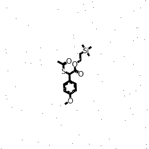 COc1ccc(C(SC(C)=O)C(=O)OCC[Si](C)(C)C)cc1